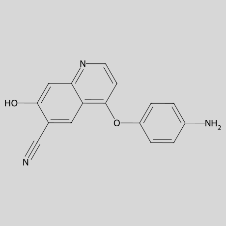 N#Cc1cc2c(Oc3ccc(N)cc3)ccnc2cc1O